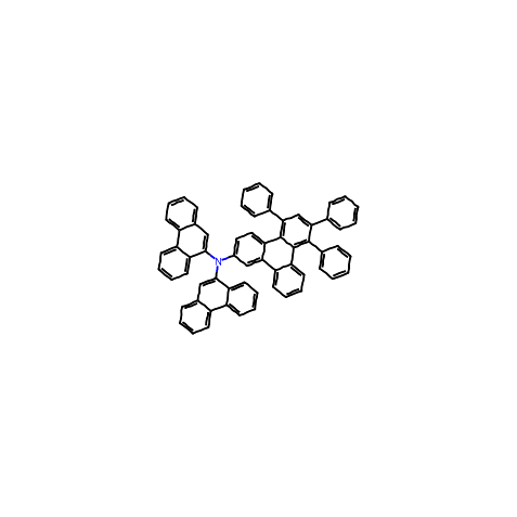 c1ccc(-c2cc(-c3ccccc3)c3c4ccc(N(c5cc6ccccc6c6ccccc56)c5cc6ccccc6c6ccccc56)cc4c4ccccc4c3c2-c2ccccc2)cc1